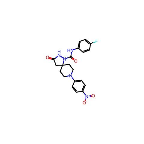 O=C1CC2(CCN(c3ccc([N+](=O)[O-])cc3)CC2)N(C(=O)Nc2ccc(F)cc2)N1